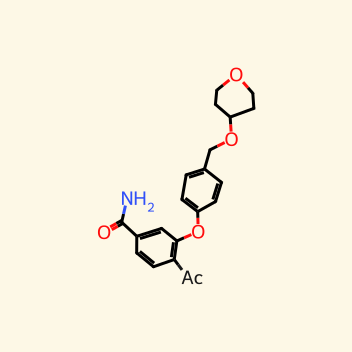 CC(=O)c1ccc(C(N)=O)cc1Oc1ccc(COC2CCOCC2)cc1